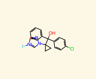 OC(c1ccccc1)(c1ccc(Cl)cc1)C1(n2c[n+](F)cn2)CC1